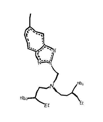 CCCCC(CC)CN(CC(CC)CCCC)Cn1nc2ccc(C)cc2n1